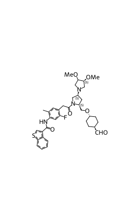 COC1CN([C@H]2C[C@@H](CO[C@H]3CC[C@H](C=O)CC3)N(C(=O)Cc3cc(C)c(NC(=O)c4csc5ccccc45)cc3F)C2)C[C@@H]1OC